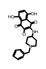 O=C1C(Cl)=C(NC2CCN(Cc3ccccc3)CC2)C(=O)c2c(O)ccc(O)c21